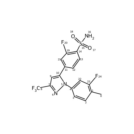 Cc1ccc(-n2nc(C(F)(F)F)cc2-c2ccc(S(N)(=O)=O)c(F)c2)cc1F